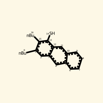 CCCCc1cc2cc3ccccc3cc2c(S)c1CCCC